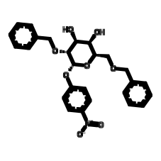 O=[N+]([O-])c1ccc(O[C@H]2O[C@H](COCc3ccccc3)[C@H](O)[C@H](O)[C@H]2OCc2ccccc2)cc1